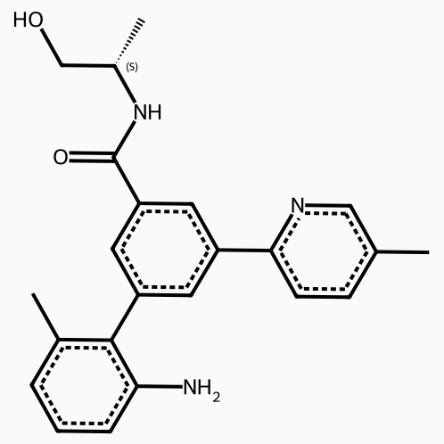 Cc1ccc(-c2cc(C(=O)N[C@@H](C)CO)cc(-c3c(C)cccc3N)c2)nc1